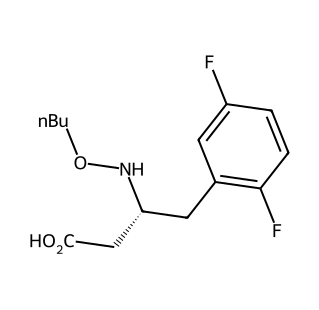 CCCCON[C@@H](CC(=O)O)Cc1cc(F)ccc1F